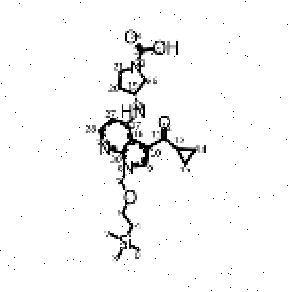 C[Si](C)(C)CCOCn1cc(C(=O)C2CC2)c2c(N[C@@H]3CCN(C(=O)O)C3)ccnc21